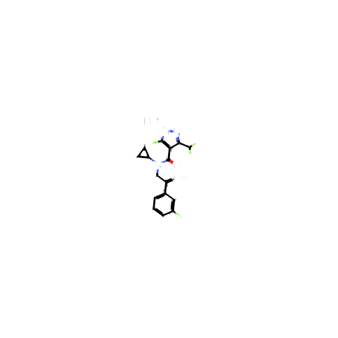 C=C(CN(C(=O)c1c(C(F)F)nn(C)c1F)C1CC1)c1cccc(F)c1